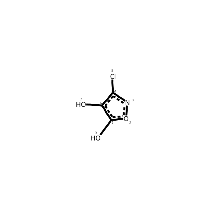 Oc1onc(Cl)c1O